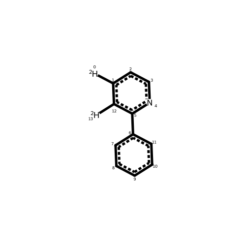 [2H]c1ccnc(-c2ccccc2)c1[2H]